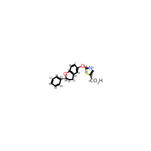 O=C(O)c1cnc(Oc2ccc3c(c2)CC[C@@H](c2ccccc2)O3)s1